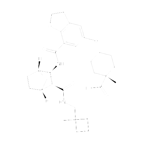 CC1(CNC(=O)[C@H]2[C@@H]3CC[C@@H](C3)[C@H]2NC(=O)c2cc(O[C@H]3CC[C@@](C)(C(=O)O)CC3)cc3c2OCC3)CCC1